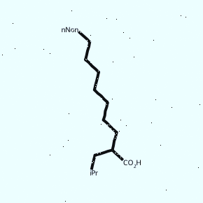 CCCCCCCCCCCCCCCCC(CC(C)C)C(=O)O